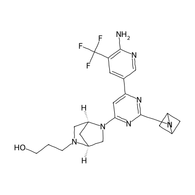 Nc1ncc(-c2cc(N3C[C@@H]4C[C@H]3CN4CCCO)nc(N3CC4CC3C4)n2)cc1C(F)(F)F